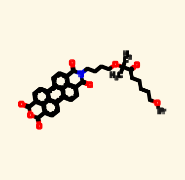 CC(C)OCCCCCC(=O)C(C)(C)OCCCCN1C(=O)c2ccc3c4ccc5c6c(ccc(c7ccc(c2c37)C1=O)c64)C(=O)OC5=O